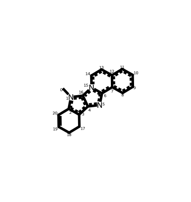 Cn1c2c(c3nc4c5ccccc5ccn4c31)CCC=C2